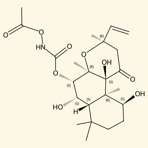 C=C[C@@]1(C)CC(=O)[C@]2(O)[C@@]3(C)[C@@H](O)CCC(C)(C)[C@@H]3[C@H](O)[C@H](OC(=O)NOC(C)=O)[C@@]2(C)O1